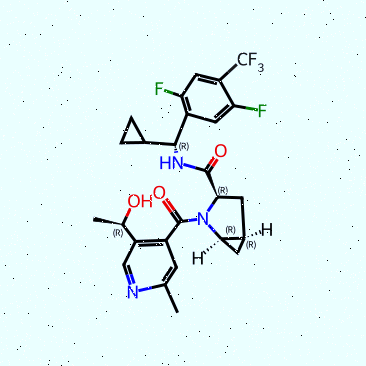 Cc1cc(C(=O)N2[C@@H](C(=O)N[C@@H](c3cc(F)c(C(F)(F)F)cc3F)C3CC3)C[C@H]3C[C@H]32)c([C@@H](C)O)cn1